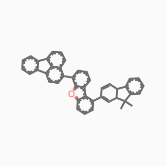 CC1(C)c2ccccc2C2C=CC(c3cccc4oc5c(-c6ccc7c8c(cccc68)-c6ccccc6-7)cccc5c34)=CC21